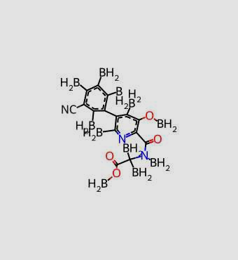 BOC(=O)C(B)(B)N(B)C(=O)c1nc(B)c(-c2c(B)c(B)c(B)c(C#N)c2B)c(B)c1OB